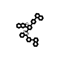 c1cc(-c2cccc3ccccc23)cc(-c2nc(-c3ccc(-c4ccc(-c5cccc6ccccc56)cc4)c4oc5cc6ccccc6cc5c34)nc3ccccc23)c1